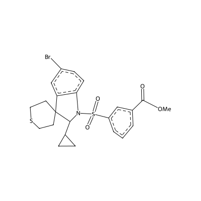 COC(=O)c1cccc(S(=O)(=O)N2c3ccc(Br)cc3C3(CCSCC3)C2C2CC2)c1